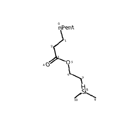 CCCCCCCC(=O)OCC[SiH](C)C